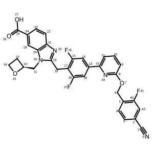 N#Cc1ccc(COc2cccc(-c3cc(F)c(Cc4nc5ccc(C(=O)O)cc5n4C[C@@H]4CCO4)c(F)c3)n2)c(F)c1